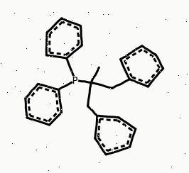 CC(Cc1ccccc1)(Cc1ccccc1)P(c1ccccc1)c1ccccc1